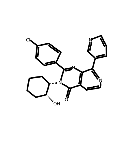 O=c1c2ccnc(-c3cccnc3)c2nc(-c2ccc(Cl)cc2)n1[C@H]1CCCC[C@H]1O